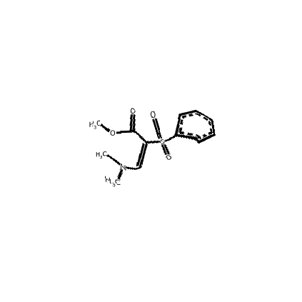 COC(=O)/C(=C\N(C)C)S(=O)(=O)c1ccccc1